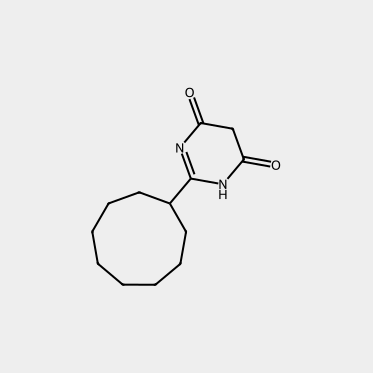 O=C1CC(=O)NC(C2CCCCCCCC2)=N1